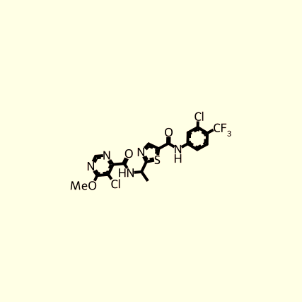 COc1ncnc(C(=O)NC(C)c2ncc(C(=O)Nc3ccc(C(F)(F)F)c(Cl)c3)s2)c1Cl